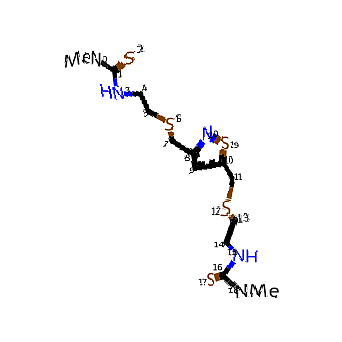 CNC(=S)NCCSCc1cc(CSCCNC(=S)NC)sn1